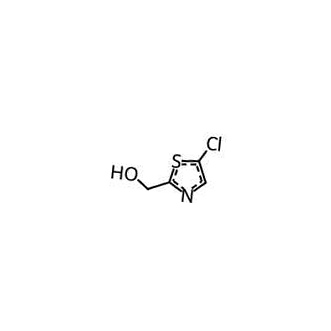 OCc1ncc(Cl)s1